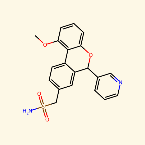 COc1cccc2c1-c1ccc(CS(N)(=O)=O)cc1C(c1cccnc1)O2